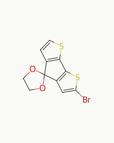 Brc1cc2c(s1)-c1sccc1C21OCCO1